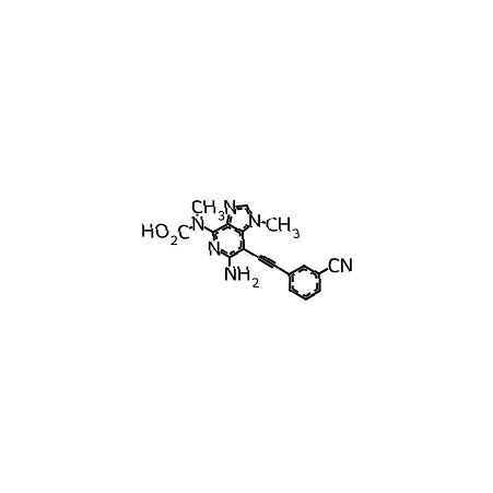 CN(C(=O)O)c1nc(N)c(C#Cc2cccc(C#N)c2)c2c1ncn2C